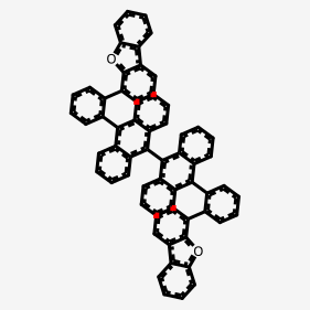 c1ccc(-c2cccc3c2oc2ccccc23)c(-c2c3ccccc3c(-c3c4ccccc4c(-c4ccccc4-c4cccc5c4oc4ccccc45)c4ccccc34)c3ccccc23)c1